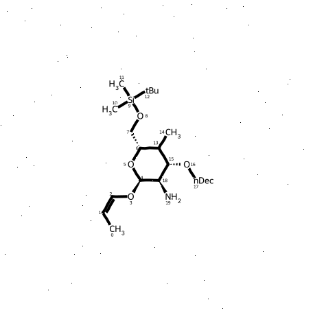 C/C=C\O[C@H]1O[C@H](CO[Si](C)(C)C(C)(C)C)C(C)[C@H](OCCCCCCCCCC)[C@H]1N